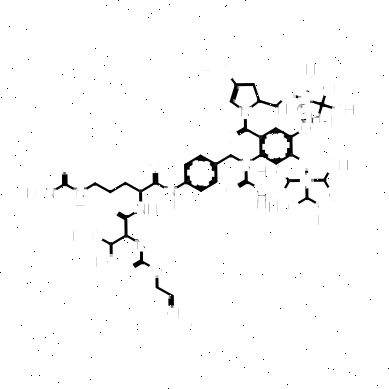 C=CCOC(=O)NC(C(=O)NC(CCCNC(N)=O)C(=O)Nc1ccc(CN(C(=O)O)c2cc(O[Si](C(C)C)(C(C)C)C(C)C)c(OC)cc2C(=O)N2C=C(C)CC2CO[Si](C)(C)C(C)(C)C)cc1)C(C)C